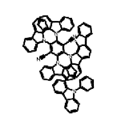 N#Cc1c(-n2c3ccccc3c3ccccc32)c(-n2c3ccccc3c3ccccc32)c(C#N)c(-n2c3cc(-c4cccc5c6ccccc6n(-c6ccccc6)c45)ccc3c3ccc4c5ccccc5sc4c32)c1-n1c2ccccc2c2ccccc21